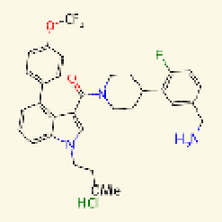 COCCn1cc(C(=O)N2CCC(c3cc(CN)ccc3F)CC2)c2c(-c3ccc(OC(F)(F)F)cc3)cccc21.Cl